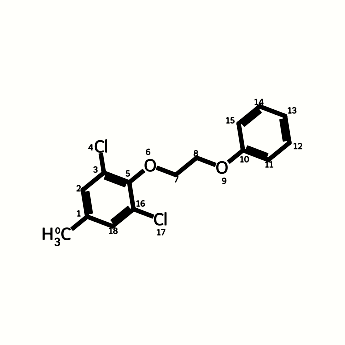 Cc1cc(Cl)c(OCCOc2ccccc2)c(Cl)c1